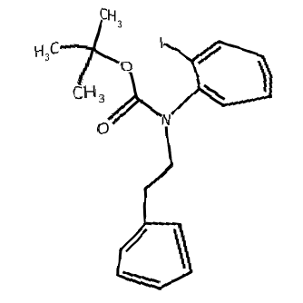 CC(C)(C)OC(=O)N(CCc1ccccc1)c1ccccc1I